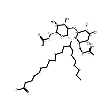 CCCCCCCC(CCCCCCCCCCCC(=O)O)O[C@@H]1O[C@H](COC(C)=O)[C@@H](O)[C@H](O)[C@H]1O[C@@H]1O[C@H](COC(C)=O)[C@@H](O)[C@H](O)[C@H]1O